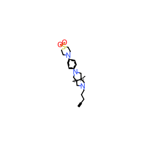 C#CCCCN1C[C@@]2(C)CN(c3ccc(N4CCS(=O)(=O)CC4)cc3)C[C@@]2(C)C1